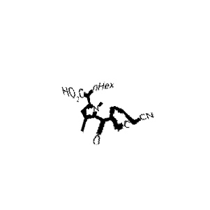 CCCCCCC(C(=O)O)c1cc(C)c(C(=O)c2ccc(C#N)cc2)n1C